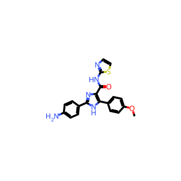 COc1ccc(-c2[nH]c(-c3ccc(N)cc3)nc2C(=O)Nc2nccs2)cc1